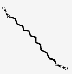 O=C=NC=CCCCCCCCCCCCN=C=O